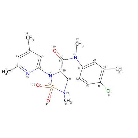 Cc1cc(C(F)(F)F)cc(N2[C@H](C(=O)N(C)c3ccc(Cl)c(C)c3)CN(C)S2(=O)=O)n1